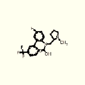 CN1CCCC1CN(C(=O)O)c1ccc(F)cc1-c1cccc(C(F)(F)F)c1